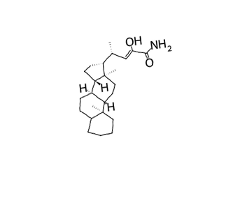 C[C@H](C=C(O)C(N)=O)[C@H]1CC[C@H]2[C@@H]3CCC4CCCC[C@]4(C)[C@H]3CC[C@]12C